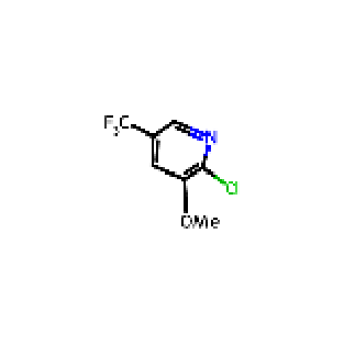 COc1cc(C(F)(F)F)cnc1Cl